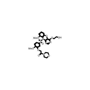 COc1cccc(Oc2c(NS(=O)(=O)c3ccc(OC)c(OCC(=O)N4CCOCC4)c3)ncnc2OCCO)c1